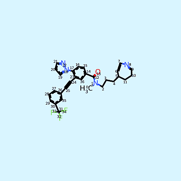 CN(CCCC1C=CN=CCC1)C(=O)c1ccc(-n2cccn2)c(C#Cc2cccc(C(F)(F)F)c2)c1